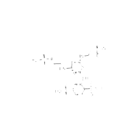 CS(=O)(=O)NCCNc1nc(NCCS(=O)(=O)O)nc(Nc2cc(S(=O)(=O)O)ccc2S(=O)(=O)O)n1